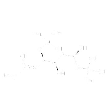 CCOC(=O)/C(C)=C/[C@@H](O[Si](C)(C)C(C)(C)C)[C@H](O)C[C@@H](C)O[Si](C)(C)C(C)(C)C